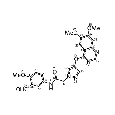 COc1ccc(NC(=O)Cn2cc(Oc3ncnc4cc(OC)c(OC)cc34)cn2)cc1C=O